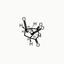 O=C1OC(=O)[C@@H]2C[C@H]3C(=O)OC(=O)[C@H]2[C@H]13